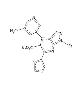 CCOC(=O)c1c(-c2cccs2)nc2c(cnn2CC)c1-c1cncc(C)c1